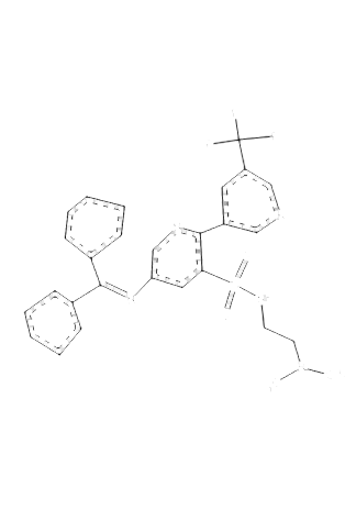 CN(C)CCNS(=O)(=O)c1cc(N=C(c2ccccc2)c2ccccc2)cnc1-c1cncc(C(F)(F)F)c1